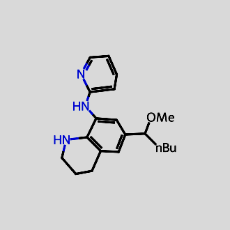 CCCCC(OC)c1cc2c(c(Nc3ccccn3)c1)NCCC2